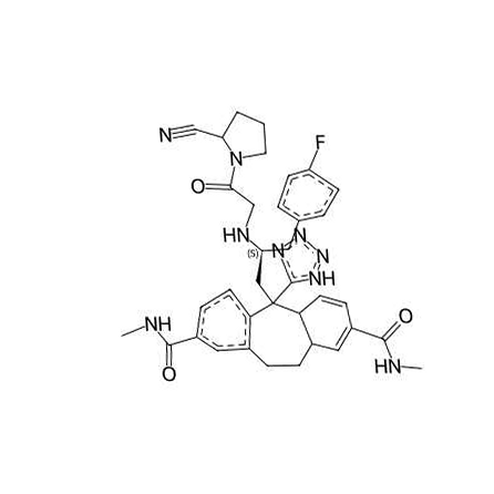 CNC(=O)C1=CC2CCc3cc(C(=O)NC)ccc3C(C[C@H](Cc3ccc(F)cc3)NCC(=O)N3CCCC3C#N)(c3nnn[nH]3)C2C=C1